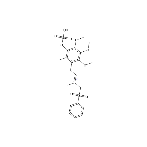 COc1c(C/C=C(\C)CS(=O)(=O)c2ccccc2)c(C)c(OS(=O)(=O)O)c(OC)c1OC